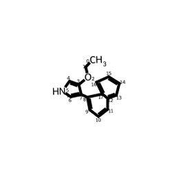 CCOc1c[nH][c]c1-c1cccc2ccccc12